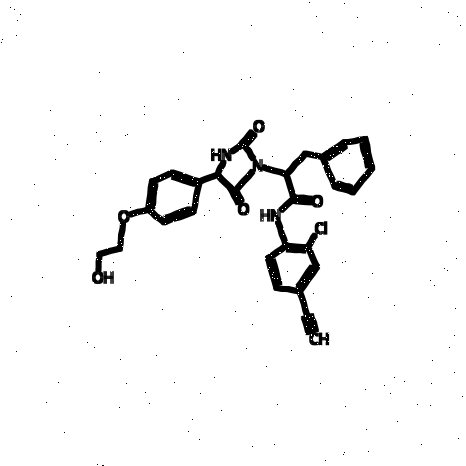 C#Cc1ccc(NC(=O)C(Cc2ccccc2)N2C(=O)NC(c3ccc(OCCO)cc3)C2=O)c(Cl)c1